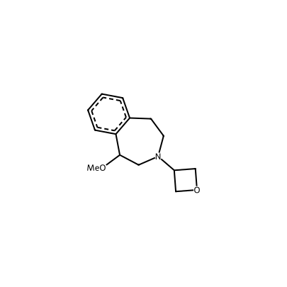 COC1CN(C2COC2)CCc2ccccc21